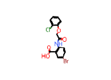 O=C(COc1ccccc1Cl)Nc1ccc(Br)cc1C(=O)O